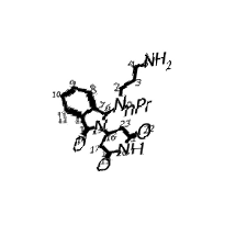 CCCN(CCCN)C1c2ccccc2C(=O)N1C1CC(=O)NC(=O)C1